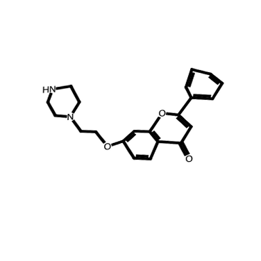 O=c1cc(-c2ccccc2)oc2cc(OCCN3CCNCC3)ccc12